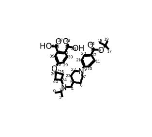 CC(C)N(CC1CCN(c2ccc(C(=O)OC(C)(C)C)cc2)CC1)C1CC(Oc2ccc(C(=O)O)c(C(=O)O)c2)C1